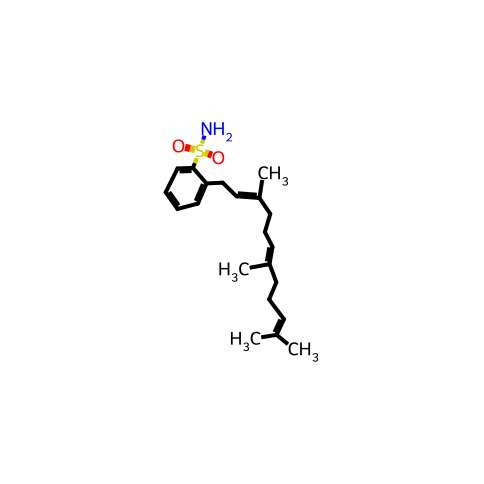 CC(C)=CCC/C(C)=C/CC/C(C)=C/Cc1ccccc1S(N)(=O)=O